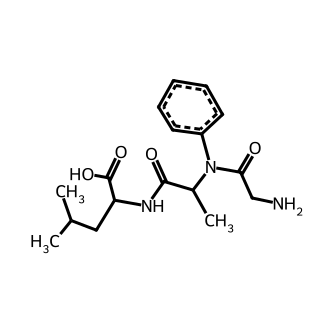 CC(C)CC(NC(=O)C(C)N(C(=O)CN)c1ccccc1)C(=O)O